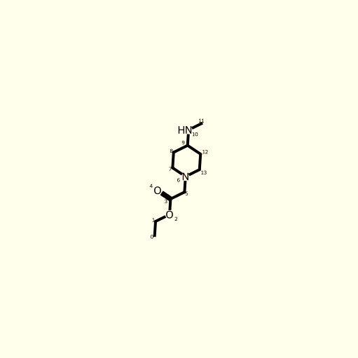 CCOC(=O)CN1CCC(NC)CC1